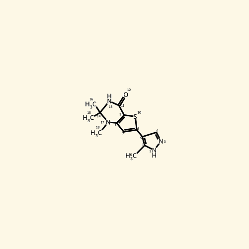 Cc1[nH]ncc1-c1cc2c(s1)C(=O)NC(C)(C)N2C